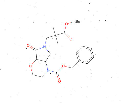 CC(C)(C)OC(=O)C(C)(C)CN1CC2C(OCCN2C(=O)OCc2ccccc2)C1=O